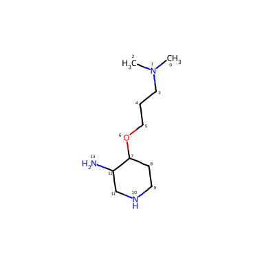 CN(C)CCCOC1CCNCC1N